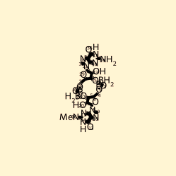 BP1(=O)OCC2OC(n3cnc4c(=O)[nH]c(NC)nc43)C(O)C2OP(B)(=O)OCC2OC(n3cnc4c(=O)[nH]c(N)nc43)C(O)C2O1